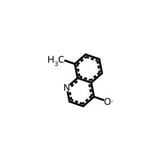 Cc1cccc2c([O])ccnc12